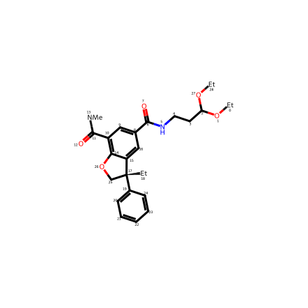 CCOC(CCNC(=O)c1cc(C(=O)NC)c2c(c1)[C@](CC)(c1ccccc1)CO2)OCC